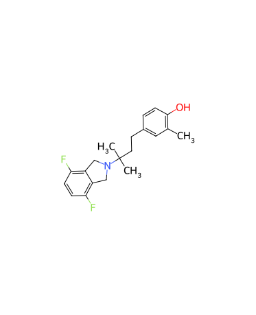 Cc1cc(CCC(C)(C)N2Cc3c(F)ccc(F)c3C2)ccc1O